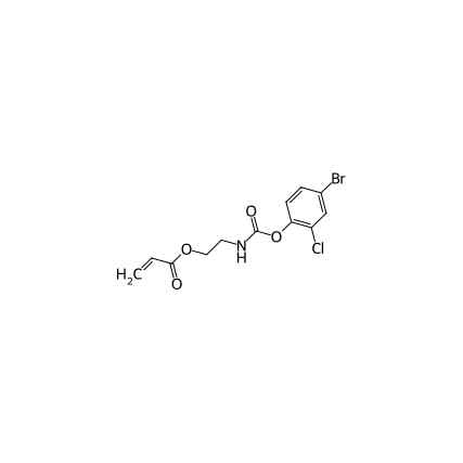 C=CC(=O)OCCNC(=O)Oc1ccc(Br)cc1Cl